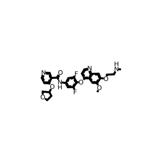 CNCCOc1cc2nccc(Oc3c(F)cc(NC(=O)c4cnccc4OC4CCOC4)cc3F)c2cc1OC